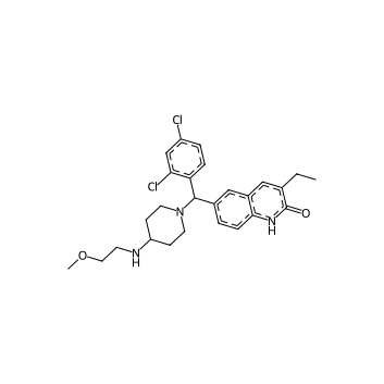 CCc1cc2cc(C(c3ccc(Cl)cc3Cl)N3CCC(NCCOC)CC3)ccc2[nH]c1=O